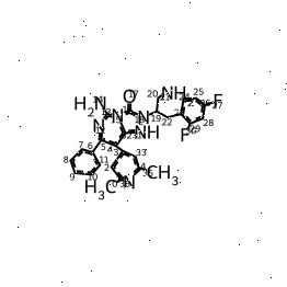 Cc1cc(-c2c(-c3ccccc3)nc(N)[n+]3c(=O)n(C(CN)Cc4ccc(F)cc4F)[nH]c23)cc(C)n1